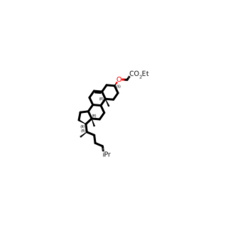 CCOC(=O)CO[C@H]1CC[C@@]2(C)C(=CCC3C2CC[C@@]2(C)C3CC[C@@H]2[C@H](C)CCCC(C)C)C1